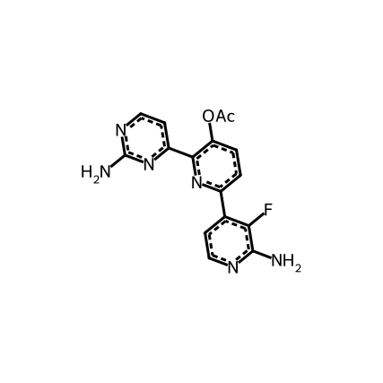 CC(=O)Oc1ccc(-c2ccnc(N)c2F)nc1-c1ccnc(N)n1